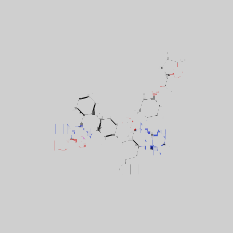 CCCc1c(Cc2ccc(-c3ccccc3C3=NOC(O)N3)cc2)c(=O)n([C@H]2CC[C@H](OCC3CCCO3)CC2)c2ncnn12